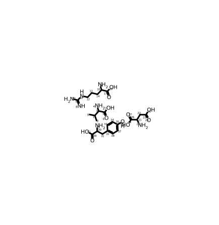 CC(C)C(N)C(=O)O.N=C(N)NCCCC(N)C(=O)O.NC(CC(=O)O)C(=O)O.NC(Cc1ccc(O)cc1)C(=O)O